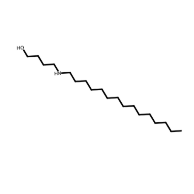 CCCCCCCCCCCCCCCNCCCCO